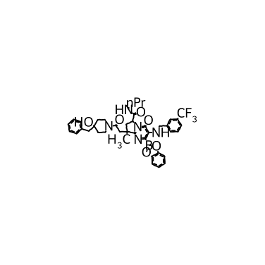 CCCNC(=O)C1CC(C)(CC(=O)N2CCC(O)(Cc3ccccc3)CC2)c2nc(B3Oc4ccccc4O3)c(NCc3cccc(C(F)(F)F)c3)c(=O)n21